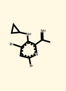 CC(=N)c1nc(Br)cc(Br)c1NC1CC1